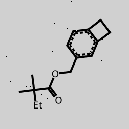 CCC(C)(C)C(=O)OCc1ccc2c(c1)CC2